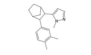 Cc1ccc(C2C3CCC(C3)C2c2ccnn2C)cc1C